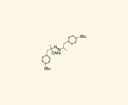 COC(C)(Cc1ccc(C(C)(C)C)cc1)N=NC(C)Cc1ccc(C(C)(C)C)cc1